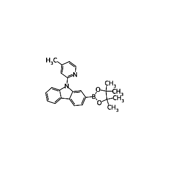 Cc1ccnc(-n2c3ccccc3c3ccc(B4OC(C)(C)C(C)(C)O4)cc32)c1